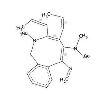 C=N/C1=C(N(C)C(C)(C)C)/C(/C=C\C)=C(/C=C\C)N(C(C)(C)C)Cc2ccccc21